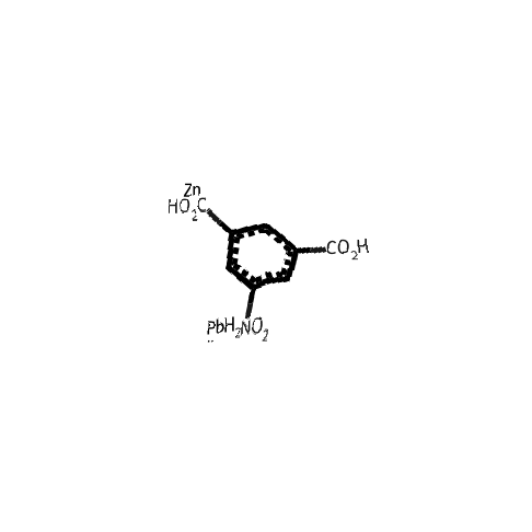 O=C(O)c1cc(C(=O)O)cc([N+](=O)[O-])c1.[PbH2].[Zn]